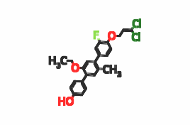 CCOc1cc(-c2ccc(OCC=C(Cl)Cl)c(F)c2)c(C)cc1-c1ccc(O)cc1